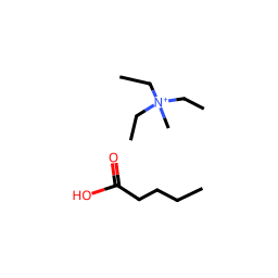 CCCCC(=O)O.CC[N+](C)(CC)CC